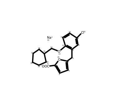 O=C([O-])c1ccc(Cc2cc(Cl)ccc2OCC2CCCCC2)o1.[Na+]